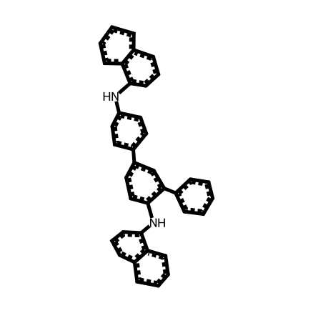 c1ccc(-c2cc(-c3ccc(Nc4cccc5ccccc45)cc3)ccc2Nc2cccc3ccccc23)cc1